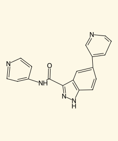 O=C(Nc1ccncc1)c1n[nH]c2ccc(-c3cccnc3)cc12